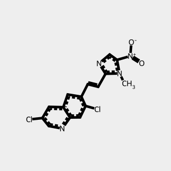 Cn1c([N+](=O)[O-])cnc1C=Cc1cc2cc(Cl)cnc2cc1Cl